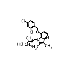 CC(C)=CCn1c(C)c(C)c2nccc(OCc3ccc(Cl)cc3Cl)c21.Cl